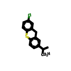 CC(C(=O)O)c1ccc2c(c1)Cc1cc(Cl)ccc1S2